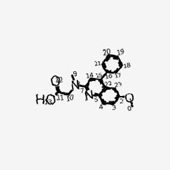 COc1ccc2nc(N(C)CC(=O)O)cc(-c3ccccc3)c2c1